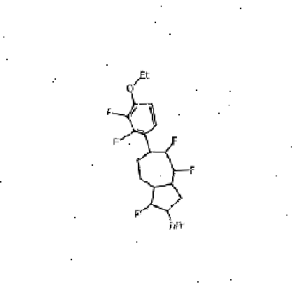 CCCC1CC2C(F)C(F)C(c3ccc(OCC)c(F)c3F)CCC2C1F